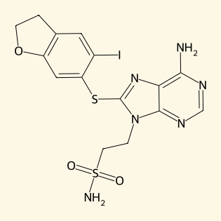 Nc1ncnc2c1nc(Sc1cc3c(cc1I)CCO3)n2CCS(N)(=O)=O